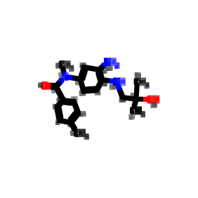 Cc1ccc(C(=O)N(C)c2ccc(NCC(C)(C)O)c(N)c2)cc1